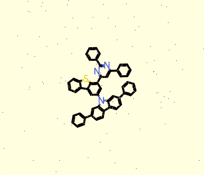 c1ccc(-c2ccc3c4ccc(-c5ccccc5)cc4n(-c4cc(-c5cc(-c6ccccc6)nc(-c6ccccc6)n5)c5sc6ccccc6c5c4)c3c2)cc1